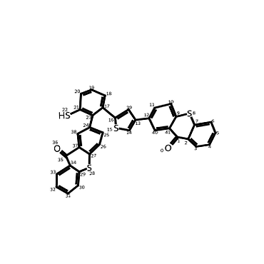 O=c1c2ccccc2sc2ccc(-c3csc(-c4cccc(S)c4-c4ccc5sc6ccccc6c(=O)c5c4)c3)cc12